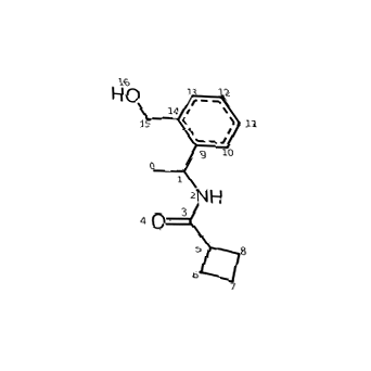 CC(NC(=O)C1CCC1)c1ccccc1CO